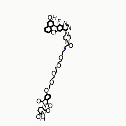 O=C1CCC(N2C(=O)c3ccc(OCCOCCOCCOCCOCC/C=C/C(=O)N4CCN(c5ncnc6c(F)c(-c7cc(O)cc8ccccc78)c(Cl)cc56)CC4)cc3C2=O)C(=O)N1